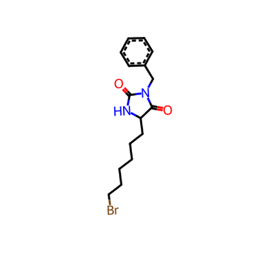 O=C1NC(CCCCCCBr)C(=O)N1Cc1ccccc1